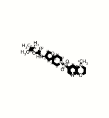 CN1CCOc2ncc(S(=O)(=O)N3CCC4(CC3)C[C@@H](NC(=O)OC(C)(C)C)CO4)cc21